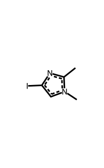 Cc1nc(I)cn1C